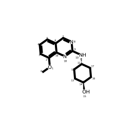 COc1cccc2cnc(N[C@H]3CC[C@H](O)CC3)nc12